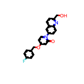 O=c1cc(OCc2ccc(F)cc2)ccn1-c1ccc2nc(CO)ccc2c1